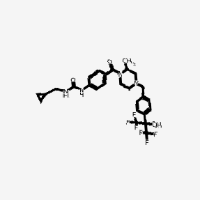 CC1CN(Cc2ccc(C(O)(C(F)(F)F)C(F)(F)F)cc2)CCN1C(=O)c1ccc(NC(=O)NCC2CC2)cc1